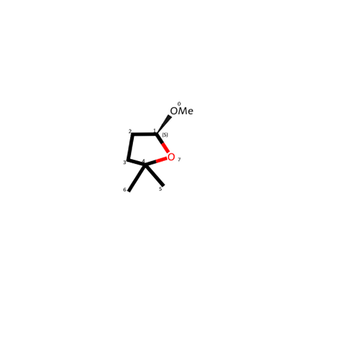 CO[C@@H]1CCC(C)(C)O1